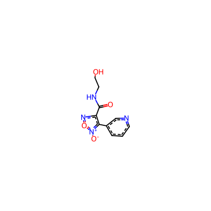 O=C(NCCO)c1no[n+]([O-])c1-c1cccnc1